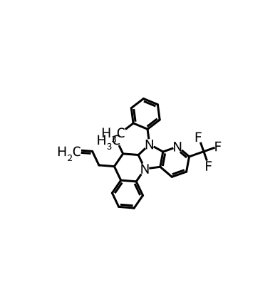 C=CCC1c2ccccc2N2c3ccc(C(F)(F)F)nc3N(c3ccccc3C)C2C1C